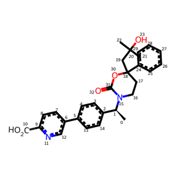 C[C@@H](c1ccc(-c2ccc(C(=O)O)nc2)cc1)N1CCC(CC(C)(C)O)(c2ccccc2)OC1=O